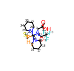 O=C(O)CN(C(=O)C(F)(F)F)C([PH2]=S)(N1CCCCC1)N1CCCCC1